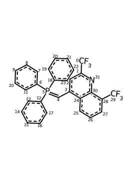 FC(F)(F)c1cc(C=P(c2ccccc2)(c2ccccc2)c2ccccc2)c2cccc(C(F)(F)F)c2n1